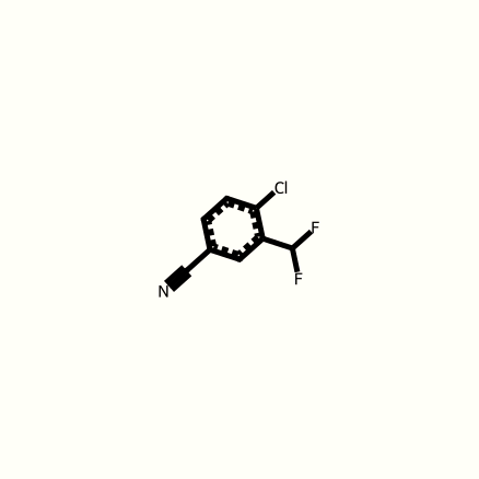 N#Cc1ccc(Cl)c(C(F)F)c1